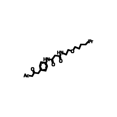 CC(=O)CC(=O)Cc1ccc(NC(=O)CC(=O)NCCOCCCCC(C)C)cc1